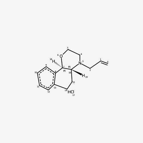 C=CCN1CCO[C@@H]2c3ccccc3CC[C@H]21.Cl